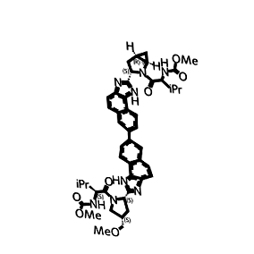 COC[C@H]1C[C@@H](c2nc3ccc4cc(-c5ccc6c(ccc7nc([C@@H]8C[C@H]9C[C@H]9N8C(=O)C(NC(=O)OC)C(C)C)[nH]c76)c5)ccc4c3[nH]2)N(C(=O)[C@@H](NC(=O)OC)C(C)C)C1